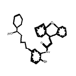 CC(C)(C)c1ccc(CCCCC(O)C2CCCCC2)cc1NC(=O)CC1c2ccccc2Oc2ccccc21